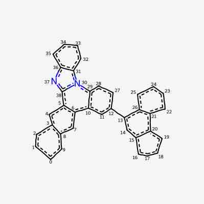 c1ccc2cc3c(cc2c1)c1cc(-c2cc4ccccc4c4ccccc24)ccc1n1c2ccccc2nc31